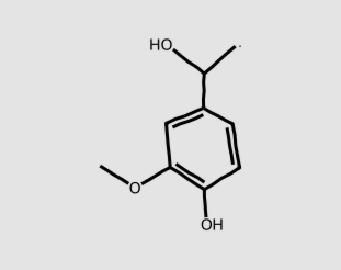 [CH2]C(O)c1ccc(O)c(OC)c1